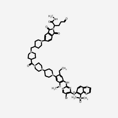 CCc1cc(Nc2ncc(Br)c(Nc3ccc4nccnc4c3P(C)(C)=O)n2)c(OC)cc1N1CCC(N2CCN(C(=O)C3CCN(CC4CCN(c5ccc6c(c5)C(=O)N(C(CCC=O)C(=O)NC)C6=O)CC4)CC3)CC2)CC1